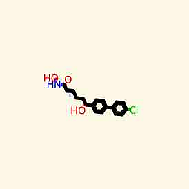 O=C(/C=C/CCC(O)c1ccc(-c2ccc(Cl)cc2)cc1)NO